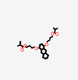 C=C(C)C(=O)OCCCCOc1ccc(OCCCCOC(=O)C(=C)C)c2cc3ccccc3cc12